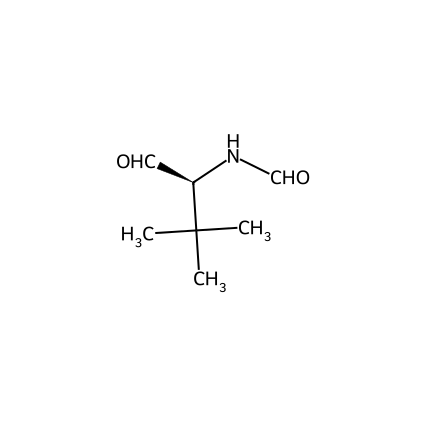 CC(C)(C)[C@@H](C=O)NC=O